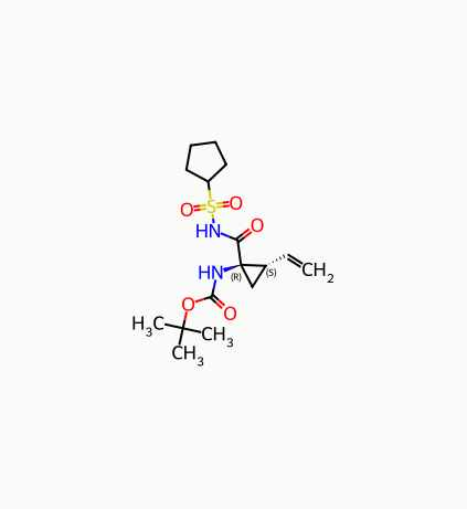 C=C[C@@H]1C[C@]1(NC(=O)OC(C)(C)C)C(=O)NS(=O)(=O)C1CCCC1